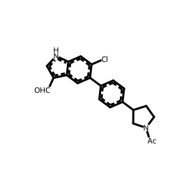 CC(=O)N1CCC(c2ccc(-c3cc4c(C=O)c[nH]c4cc3Cl)cc2)C1